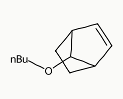 CCCCOC1C2C=CC1CC2